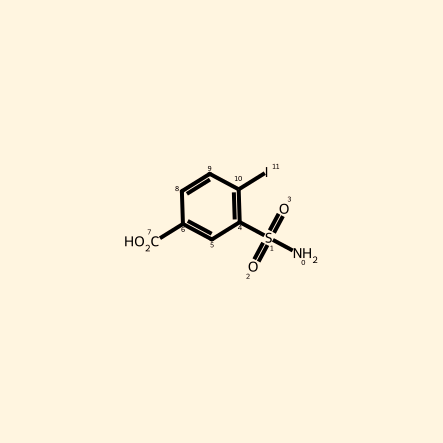 NS(=O)(=O)c1cc(C(=O)O)ccc1I